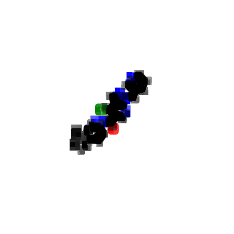 C=C(C)/C=C\C(=C/C)NC(=O)c1cnc2c(cnn2Cc2cccnc2)c1Cl